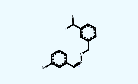 FC(F)c1cccc(CO/N=[C]\c2cccc(Br)c2)c1